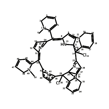 CN1CC=CC=C1C1=C2C=CC(Cl)(N2)C(Cl)(C2=CC=CCN2C)C2=NC(Cl)(C=C2)C(Cl)(C2=CC=CCN2C)c2ccc([nH]2)C(C2=CC=CCN2C)=C2C=CC1=N2